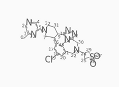 Cc1cncc(N2CCC(c3nnc4n3-c3ccc(Cl)cc3CN(C3CS(=O)(=O)C3)C4)CC2)n1